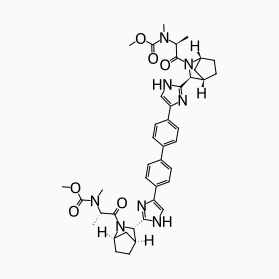 COC(=O)N(C)[C@@H](C)C(=O)N1[C@@H]2CC[C@@H](C2)[C@H]1c1nc(-c2ccc(-c3ccc(-c4c[nH]c([C@@H]5[C@H]6CC[C@H](C6)N5C(=O)[C@H](C)N(C)C(=O)OC)n4)cc3)cc2)c[nH]1